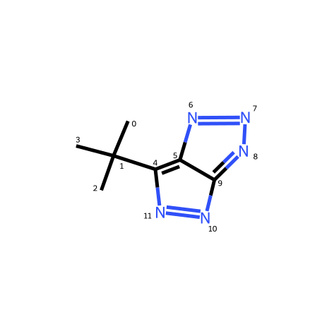 CC(C)(C)C1=C2N=NN=C2N=N1